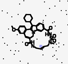 COc1ccc2c(c1)C=C1Cn3c-2c(C2CCCCC2)c2ccc(cc23)C(=O)NS(=O)(=O)N(C)C/C=C/CNC1=O